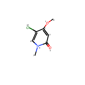 COc1cc(=O)n(C)cc1Cl